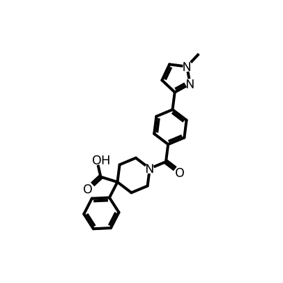 Cn1ccc(-c2ccc(C(=O)N3CCC(C(=O)O)(c4ccccc4)CC3)cc2)n1